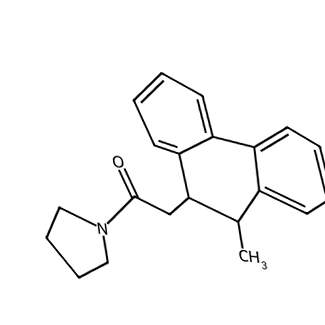 CC1c2ccccc2-c2ccccc2C1CC(=O)N1CCCC1